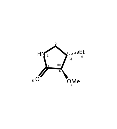 CC[C@H]1CNC(=O)[C@@H]1OC